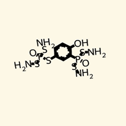 NSP(=O)(SN)Sc1ccc(O)c(P(=O)(SN)SN)c1